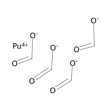 O=C[O-].O=C[O-].O=C[O-].O=C[O-].[Pu+4]